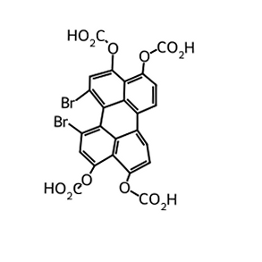 O=C(O)Oc1ccc2c3ccc(OC(=O)O)c4c(OC(=O)O)cc(Br)c(c5c(Br)cc(OC(=O)O)c1c25)c43